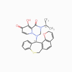 C[C@@H](N1CN([C@@H]2c3ccccc3SCc3ccc4c(c32)OCC=C4)n2ccc(=O)c(O)c2C1=O)C(F)(F)F